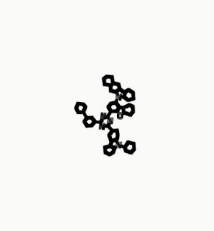 c1ccc(-c2cccc(-c3nc(-c4ccc5c(c4)c4ccccc4n5-c4ccccc4)nc(-c4ccc(-n5c6ccccc6c6cc7ccccc7cc65)c5c4oc4ccccc45)n3)c2)cc1